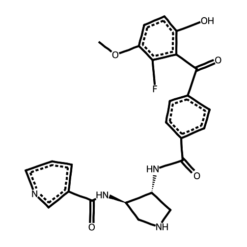 COc1ccc(O)c(C(=O)c2ccc(C(=O)N[C@@H]3CNC[C@H]3NC(=O)c3cccnc3)cc2)c1F